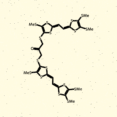 CSC1=C(SC)SC(=CC=C2SC(SC)=C(SCC(=O)CSC3=C(SC)SC(=CC=C4SC(SC)=C(SC)S4)S3)S2)S1